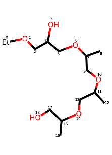 CCOCC(O)COC(C)COC(C)COC(C)CO